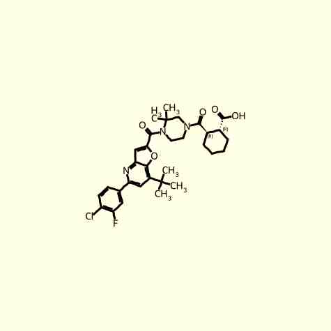 CC(C)(C)c1cc(-c2ccc(Cl)c(F)c2)nc2cc(C(=O)N3CCN(C(=O)[C@@H]4CCCC[C@H]4C(=O)O)CC3(C)C)oc12